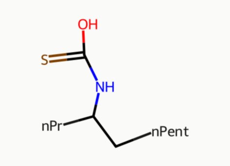 CCCCCCC(CCC)NC(O)=S